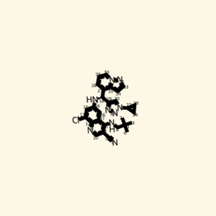 CC(C)(C)CNc1c(C#N)cnc2c(Cl)cc(N[C@H](c3cn(C4CC4)nn3)c3cccn4nccc34)cc12